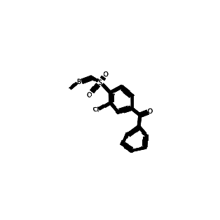 CB=CS(=O)(=O)c1ccc(C(=O)c2ccccc2)cc1Cl